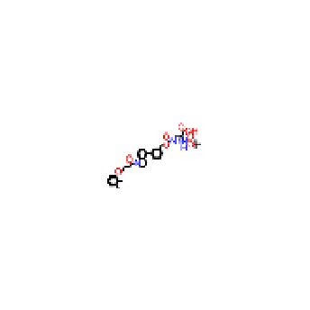 Cc1cccc(OCCCC(=O)N2CCCc3c(-c4cccc(COC(=O)NC[C@H](NC(=O)OC(C)(C)C)C(=O)O)c4)cccc32)c1C